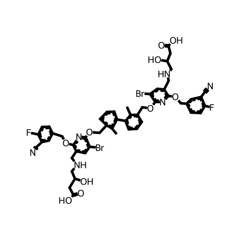 Cc1c(COc2nc(OCc3ccc(F)c(C#N)c3)c(CNCC(O)CC(=O)O)cc2Br)cccc1-c1cccc(COc2nc(OCc3ccc(F)c(C#N)c3)c(CNCC(O)CC(=O)O)cc2Br)c1C